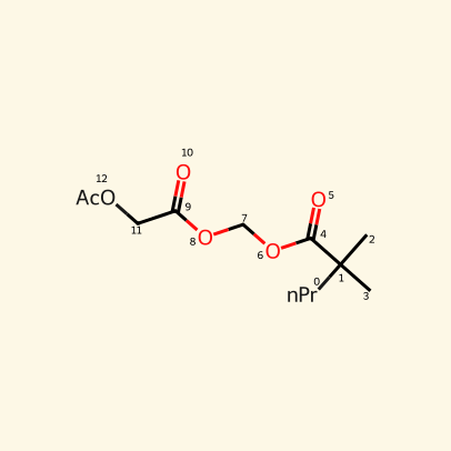 CCCC(C)(C)C(=O)OCOC(=O)COC(C)=O